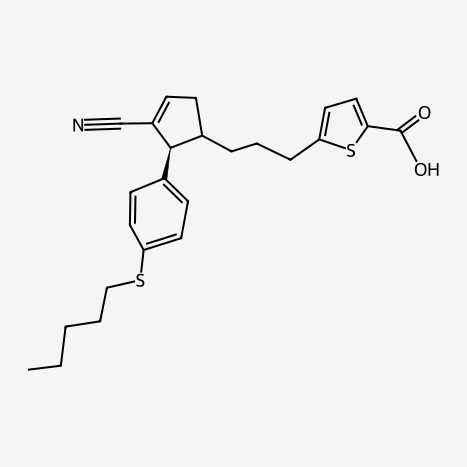 CCCCCSc1ccc([C@H]2C(C#N)=CCC2CCCc2ccc(C(=O)O)s2)cc1